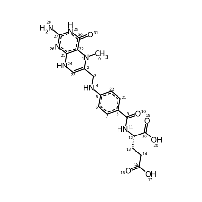 CN1C(CNc2ccc(C(=O)N[C@@H](CCC(=O)O)C(=O)O)cc2)=CNc2nc(N)[nH]c(=O)c21